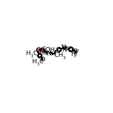 COc1ccc(C(C)C)c(N2C(=O)CS/C2=N\C(O)NCCC(C)Cc2ccc(-c3ncn(-c4ccc(OC(F)(F)F)cc4)n3)cc2)c1